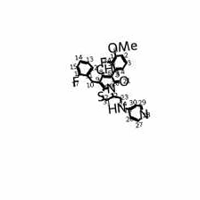 COc1cccc(-c2c(C)c(Cc3ccccc3F)c3n(c2=O)C(CNc2ccncc2)CS3)c1F